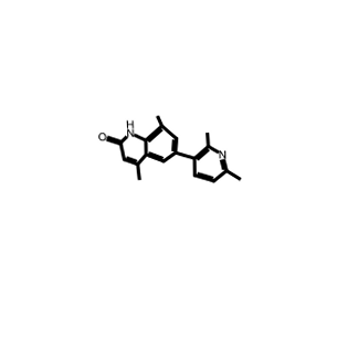 Cc1ccc(-c2cc(C)c3[nH]c(=O)cc(C)c3c2)c(C)n1